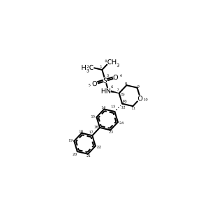 CC(C)S(=O)(=O)N[C@H]1CCOC[C@@H]1c1ccc(-c2ccccc2)cc1